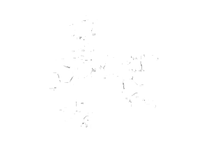 Cc1nc(C2CCN(C(=O)[C@@H]3C[C@@H](N4CCOCC4)C[C@H]3c3ccc(F)cc3F)CC2)n(-c2ccc(Cl)c(C)c2)n1.O=C(O)C(F)(F)F